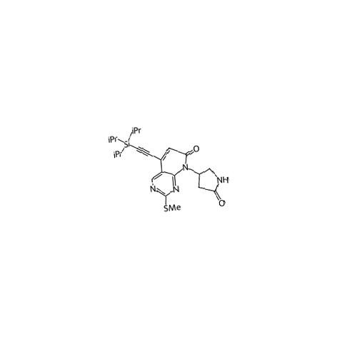 CSc1ncc2c(C#C[Si](C(C)C)(C(C)C)C(C)C)cc(=O)n(C3CNC(=O)C3)c2n1